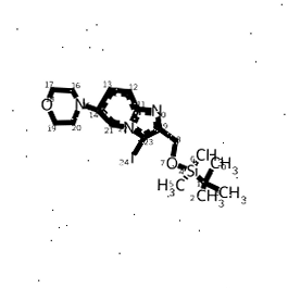 CC(C)(C)[Si](C)(C)OCc1nc2ccc(N3CCOCC3)cn2c1I